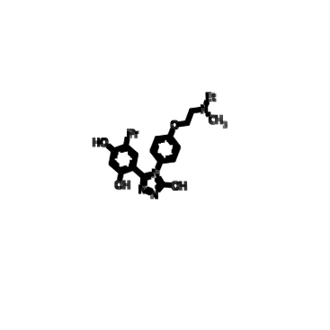 CCN(C)CCOc1ccc(-n2c(O)nnc2-c2cc(C(C)C)c(O)cc2O)cc1